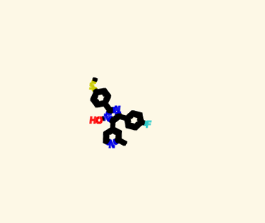 CSc1ccc(-c2nc(-c3ccc(F)cc3)c(-c3ccnc(C)c3)n2O)cc1